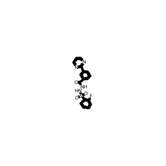 O=C(NNS(=O)(=O)c1ccccc1F)c1cccc(-c2ncccn2)c1